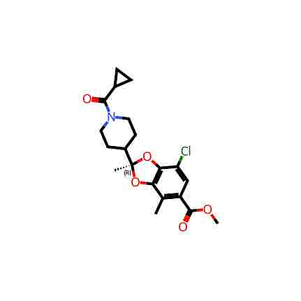 COC(=O)c1cc(Cl)c2c(c1C)O[C@@](C)(C1CCN(C(=O)C3CC3)CC1)O2